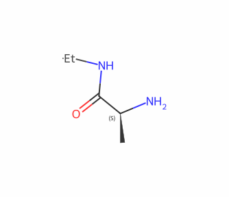 C[CH]NC(=O)[C@H](C)N